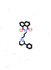 O=C1c2cccc3cccc(c23)C(=O)N1CCCCN1CC=CC(c2ccccc2)C1